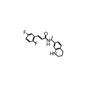 CC(NC(=O)C=Cc1cc(F)ccc1F)c1ccc2c(c1)NCCC2